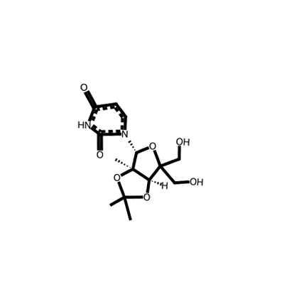 CC1(C)O[C@@H]2C(CO)(CO)O[C@@H](n3ccc(=O)[nH]c3=O)[C@]2(C)O1